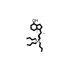 CCC[CH2][Sn]([CH]=C[C@@H](C)C1CCC2C(O)CCC[C@@]21C)([CH2]CCC)[CH2]CCC